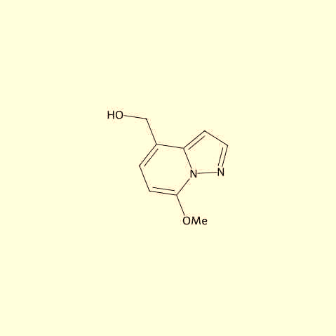 COc1ccc(CO)c2ccnn12